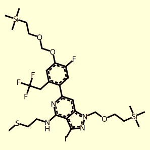 CSCCNc1nc(-c2cc(F)c(OCOCC[Si](C)(C)C)cc2CC(F)(F)F)cc2c1c(I)nn2COCC[Si](C)(C)C